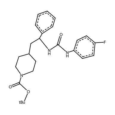 CC(C)(C)OC(=O)N1CCC(CC(NC(=O)Nc2ccc(F)cc2)c2ccccc2)CC1